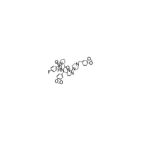 O=C(NC(c1ccc2c(c1)OCO2)c1ccnc(N2CCN(Cc3ccc4c(c3)OCO4)CC2)n1)[C@@H]1CCCN1S(=O)(=O)c1ccc(F)cc1